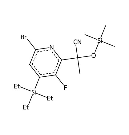 CC[Si](CC)(CC)c1cc(Br)nc(C(C)(C#N)O[Si](C)(C)C)c1F